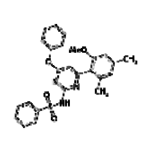 COc1cc(C)cc(C)c1-c1cc(Oc2ccccc2)nc(NS(=O)(=O)c2ccccc2)n1